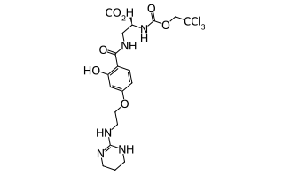 O=C(N[C@@H](CNC(=O)c1ccc(OCCNC2=NCCCN2)cc1O)C(=O)O)OCC(Cl)(Cl)Cl